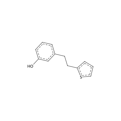 Oc1cccc(CCc2cccs2)c1